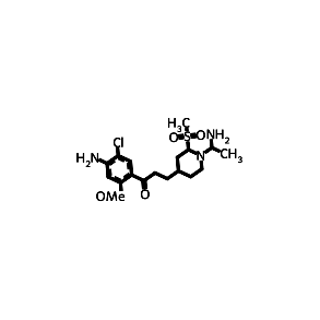 COc1cc(N)c(Cl)cc1C(=O)CCC1CCN(C(C)N)C(S(C)(=O)=O)C1